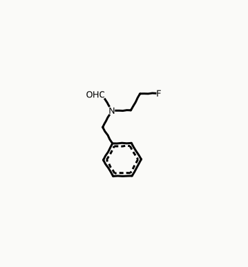 O=CN(CCF)Cc1ccccc1